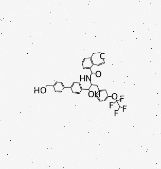 O=C(NC(Cc1cccc(OC(F)(F)C(F)F)c1)C(O)c1ccc(-c2ccc(CO)cc2)cc1)c1cccc2c1C=CCCC2